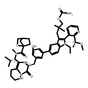 CCn1c(-c2cccnc2[C@H](C)OC)c(CC(C)(C)COC(=O)[SiH3])c2cc(-c3cc(O)cc(C[C@H](NC(=O)[C@H](C(C)C)N(C)C(=O)C45CCC(CO4)C5)C(=O)N4CCCCN4)c3)ccc21